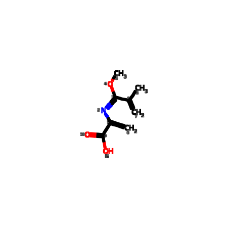 C=C(/N=C(/OC)C(=C)C)C(=O)O